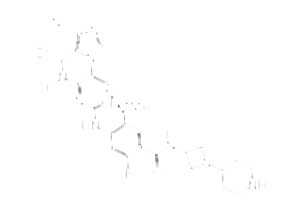 C=C(/N=C1\C(=C/N)n2cnc(C#N)c2[C@@H](CC)N1C(C)C)Nc1cc(F)c(C(=O)NC2CN(C3CCNCC3)C2)cc1OC